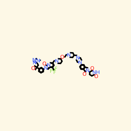 Cn1cnnc1CC1(c2cccc(-n3cc4c(C(F)(F)F)cc(CN5CCC[C@H](OCCN6CCC(CN7CCN(c8ccc9c(c8)CN(C8CCC(=O)NC8=O)C9=O)CC7)CC6)C5)cn4c3=O)c2)COC1